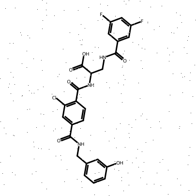 O=C(NCc1cccc(O)c1)c1ccc(C(=O)NC(CNC(=O)c2cc(F)cc(F)c2)C(=O)O)c(Cl)c1